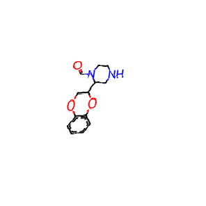 O=CN1CCNCC1C1COc2ccccc2O1